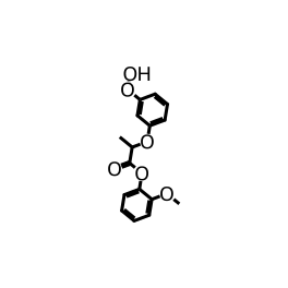 COc1ccccc1OC(=O)C(C)Oc1cccc(OO)c1